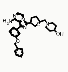 Nc1nccn2c(C3CCC(CN4CCC(O)CC4)CC3)nc(-c3cccc(OCc4ccccc4)c3)c12